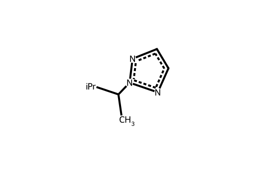 CC(C)C(C)n1nccn1